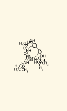 CN(CCO)C(=O)[C@@H]1Cc2cc(ccc2O)-c2ccc(O)c(c2)C[C@H](NC(=O)OC(C)(C)C)C(=O)N[C@@H](C[C@@H](O)CNC(=O)OC(C)(C)C)C(=O)N1